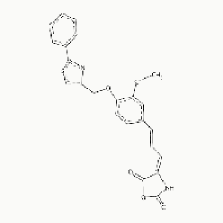 COc1cc(C=CC=C2NC(=O)OC2=O)ccc1OCc1csc(-c2ccccc2)n1